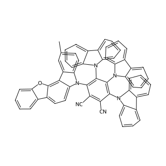 Cc1ccc2c(c1)c1c3oc4ccccc4c3ccc1n2-c1c(C#N)c(C#N)c(-n2c3ccccc3c3ccccc32)c(-n2c3ccccc3c3ccccc32)c1-n1c2ccccc2c2ccccc21